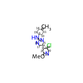 COc1cc(-c2cnc(N[C@H]3CC[C@H](C)CC3)nc2)c(Cl)cn1